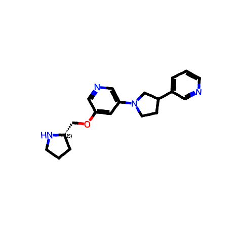 c1cncc(C2CCN(c3cncc(OC[C@@H]4CCCN4)c3)C2)c1